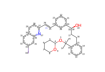 CC(C)(OC1CCCCO1)c1ccccc1CC[C@H](O)c1cccc(/C=C/c2ccc3ccc(I)cc3n2)c1